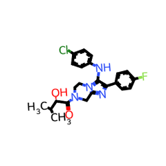 CC(C)[C@H](O)C(=O)N1CCn2c(nc(-c3ccc(F)cc3)c2Nc2ccc(Cl)cc2)C1